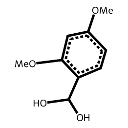 COc1ccc(C(O)O)c(OC)c1